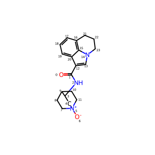 O=C(NC1C[N+]2([O-])CCC1CC2)c1cn2c3c(cccc13)CCC2